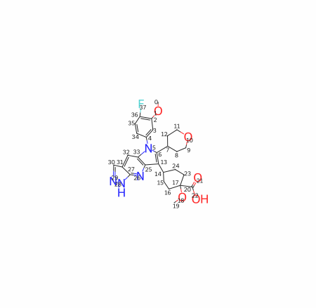 COc1cc(-n2c(C3CCOCC3)c(C3CCC(OC)(C(=O)O)CC3)c3nc4[nH]ncc4cc32)ccc1F